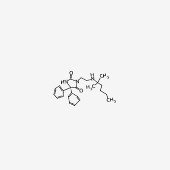 CCCCC(C)(C)NCCN1C(=O)NC(c2ccccc2)(c2ccccc2)C1=O